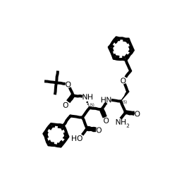 CC(C)(C)OC(=O)N[C@H](C(=O)N[C@@H](COCc1ccccc1)C(N)=O)C(Cc1ccccc1)C(=O)O